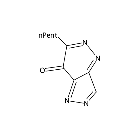 CCCCCC1=NN=C2C=NN=C2C1=O